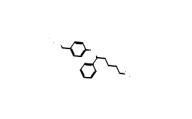 N#CCc1ccc(OC(CCCCN)c2ccccc2)cc1